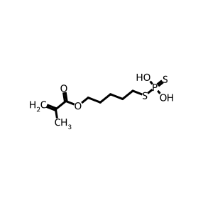 C=C(C)C(=O)OCCCCCSP(O)(O)=S